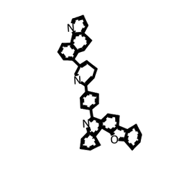 C1=NC(c2ccc(-c3nc4ccccc4c4c3ccc3c5ccccc5oc34)cc2)=CCC=C1c1cccc2c1ccc1cccnc12